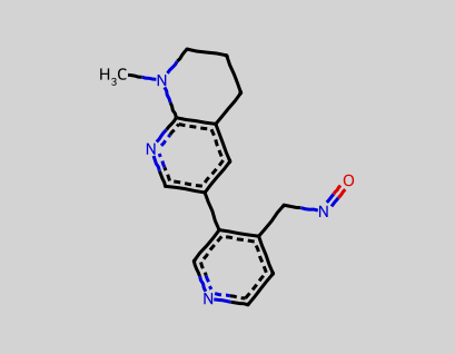 CN1CCCc2cc(-c3cnccc3CN=O)cnc21